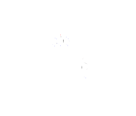 Nc1nc2c(ncn2COCCOC(=O)c2ccc(CN3CCOCC3)cc2)c(=O)[nH]1